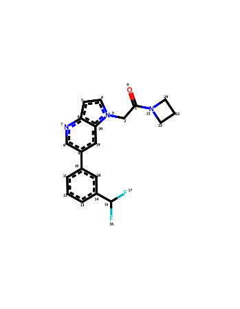 O=C(Cn1ccc2ncc(-c3cccc(C(F)F)c3)cc21)N1CCC1